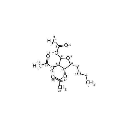 CCOC[C@H]1OC(OC(C)=O)[C@H](OC(C)=O)[C@@H]1OC(C)=O